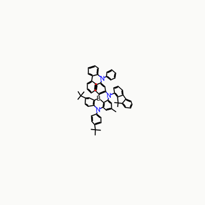 Cc1cc2c3c(c1)N(c1cccc4c1C(C)(C)c1ccccc1-4)c1cc(N(c4ccccc4)c4ccccc4-c4ccccc4)ccc1B3c1cc(C(C)(C)C)ccc1N2c1ccc(C(C)(C)C)cc1